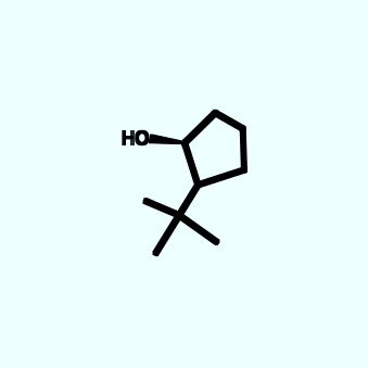 CC(C)(C)C1CCC[C@@H]1O